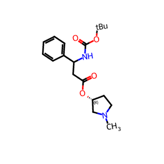 CN1CC[C@@H](OC(=O)CC(NC(=O)OC(C)(C)C)c2ccccc2)C1